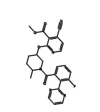 COC(=O)c1c(C#N)ccnc1OC1CCC(C)N(C(=O)c2cccc(F)c2-c2ncccn2)C1